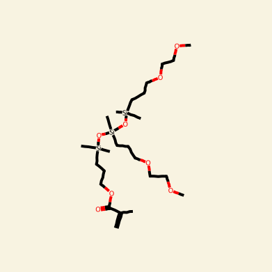 C=C(C)C(=O)OCCC[Si](C)(C)O[Si](C)(CCCOCCOC)O[Si](C)(C)CCCOCCOC